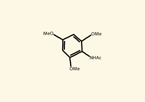 [CH2]C(=O)Nc1c(OC)cc(OC)cc1OC